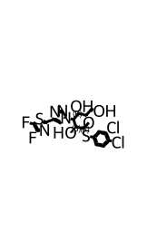 OCC1O[C@H](Sc2ccc(Cl)c(Cl)c2)[C@@H](O)C(n2cc(-c3nc(F)c(F)s3)nn2)[C@H]1O